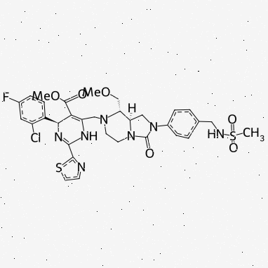 COC[C@@H]1[C@H]2CN(c3ccc(CNS(C)(=O)=O)cc3)C(=O)N2CCN1CC1=C(C(=O)OC)[C@H](c2ccc(F)cc2Cl)N=C(c2nccs2)N1